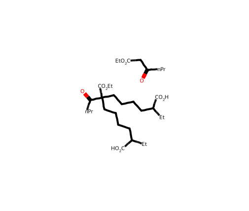 CCCC(=O)C(CCCCC(CC)C(=O)O)(CCCCC(CC)C(=O)O)C(=O)OCC.CCCC(=O)CC(=O)OCC